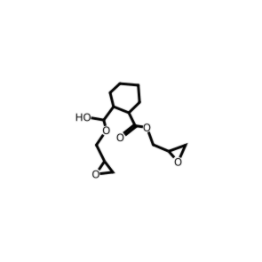 O=C(OCC1CO1)C1CCCCC1C(O)OCC1CO1